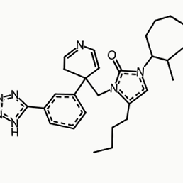 CCCCc1cn(C2CCCCCC2C)c(=O)n1CC1(c2cccc(-c3nnn[nH]3)c2)C=CN=CC1